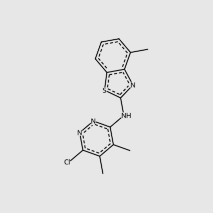 Cc1c(Cl)nnc(Nc2nc3c(C)cccc3s2)c1C